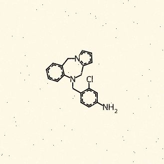 Nc1ccc(CN2Cc3cccn3Cc3ccccc32)c(Cl)c1